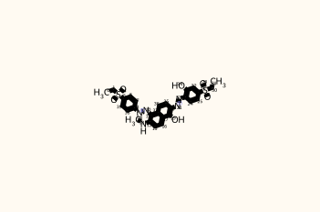 CCS(=O)(=O)c1ccc(/N=N/c2c(NC)ccc3c(O)c(/N=N/c4ccc(S(=O)(=O)CC)cc4O)ccc23)cc1